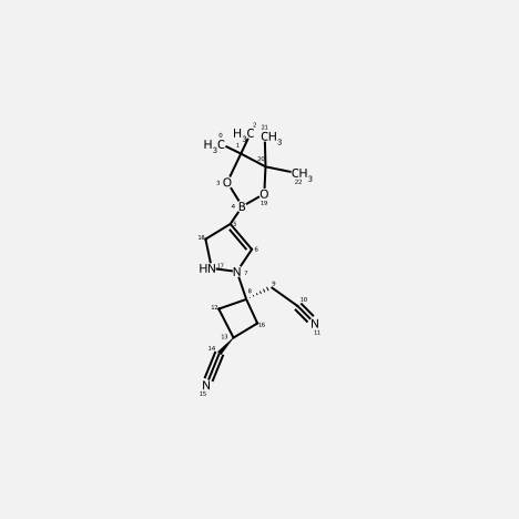 CC1(C)OB(C2=CN([C@]3(CC#N)C[C@H](C#N)C3)NC2)OC1(C)C